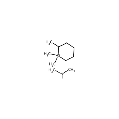 CC1CCCC[Si]1(C)C.CNC